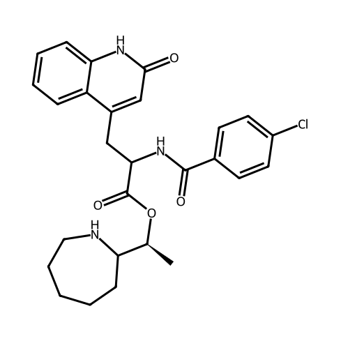 C[C@H](OC(=O)C(Cc1cc(=O)[nH]c2ccccc12)NC(=O)c1ccc(Cl)cc1)C1CCCCCN1